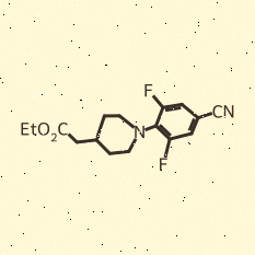 CCOC(=O)CC1CCN(c2c(F)cc(C#N)cc2F)CC1